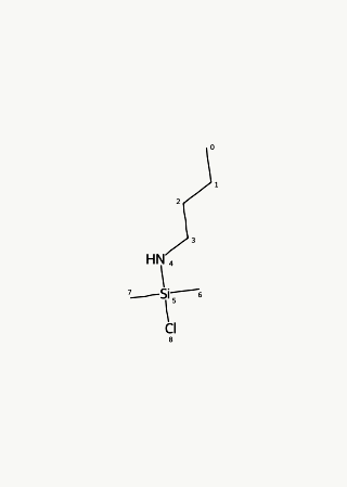 CCCCN[Si](C)(C)Cl